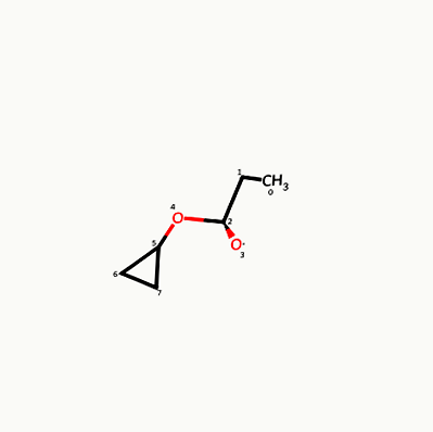 CC[C@@H]([O])OC1CC1